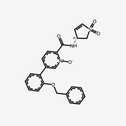 O=C(N[C@@H]1C=CS(=O)(=O)C1)c1ccc(-c2ccccc2OCc2ccccc2)c[n+]1[O-]